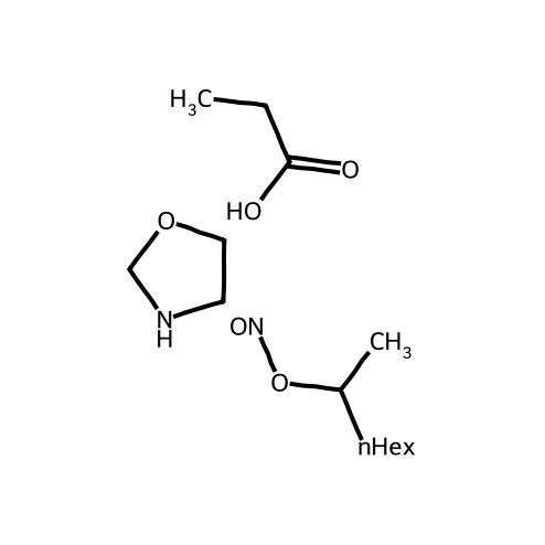 C1COCN1.CCC(=O)O.CCCCCCC(C)ON=O